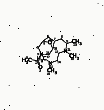 CC(=O)N1CC2CC(CC(C)N(C)CCN(C)C)C(C1)O2